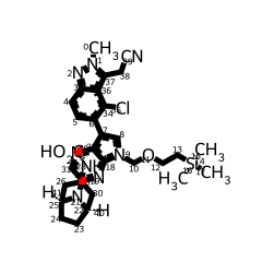 Cn1nc2ccc(-c3cn(COCC[Si](C)(C)C)c4nc(N5[C@@H]6CC[C@H]5C[C@@H](NC(=O)O)C6)cnc34)c(Cl)c2c1CC#N